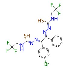 FC(F)(F)CN/C(S)=N/N=C(/C(=N/N=C(\S)NCC(F)(F)F)c1ccc(Br)cc1)c1ccccc1